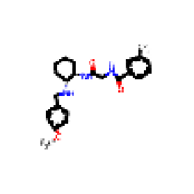 O=C(CNC(=O)c1cccc(C(F)(F)F)c1)N[C@H]1CCCC[C@H]1NCc1ccc(OC(F)(F)F)cc1